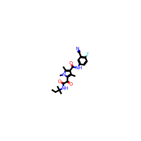 CCC(C)(C)NC(=O)C(=O)c1c(C)c(C(=O)Nc2ccc(F)c(C#N)c2)c(C)n1C